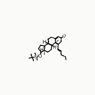 CCCC=CC1CC(=O)C=C2CC[C@@H]3[C@@H](CC[C@]4(C)C(O[Si](C)(C)C(C)(C)C)CC[C@@H]34)[C@]21C